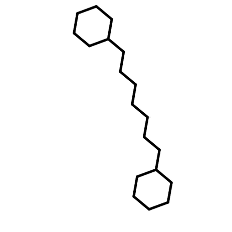 [CH](CCCCC1CCCCC1)CCC1CCCCC1